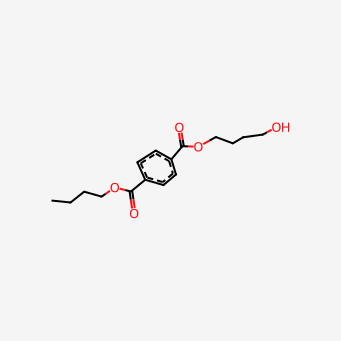 CCCCOC(=O)c1ccc(C(=O)OCCCCO)cc1